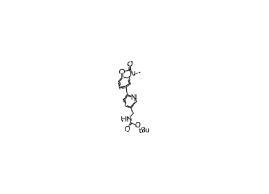 Cn1c(=O)oc2ccc(-c3ccc(CNC(=O)OC(C)(C)C)cn3)cc21